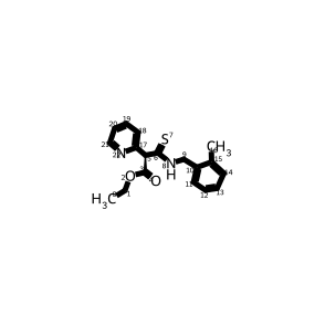 CCOC(=O)[C@H](C(=S)NCc1ccccc1C)c1ccccn1